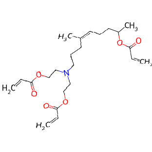 C=CC(=O)OCCN(CCC/C(C)=C\CCC(C)OC(=O)C=C)CCOC(=O)C=C